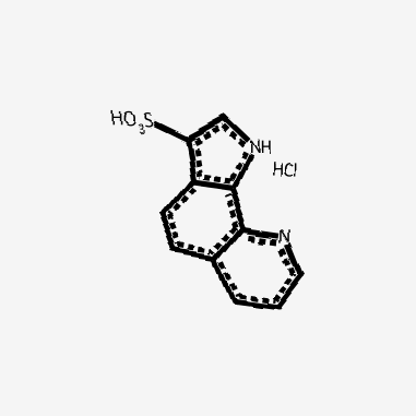 Cl.O=S(=O)(O)c1c[nH]c2c1ccc1cccnc12